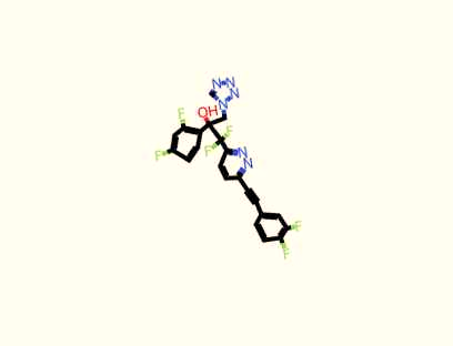 OC(Cn1cnnn1)(c1ccc(F)cc1F)C(F)(F)c1ccc(C#Cc2ccc(F)c(F)c2)nn1